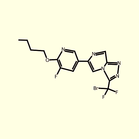 CCCCOc1ncc(-c2cn3c(C(F)(F)Br)nnc3cn2)cc1F